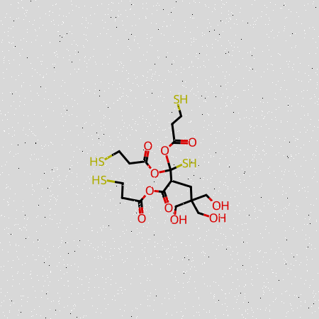 O=C(CCS)OC(=O)C(CC(CO)(CO)CO)C(S)(OC(=O)CCS)OC(=O)CCS